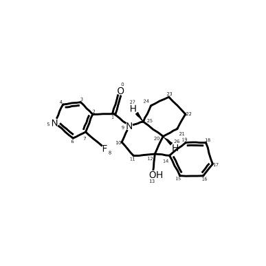 O=C(c1ccncc1F)N1CCC(O)(c2ccccc2)[C@H]2CCCC[C@H]21